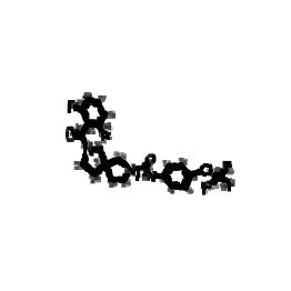 O=C(Nc1ccc(OC(F)(F)F)cc1)N1CCC2(CCN(C(=O)c3c(F)cccc3F)C2)C1